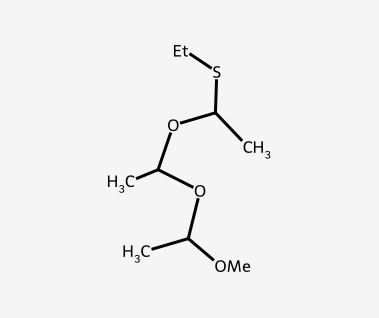 CCSC(C)OC(C)OC(C)OC